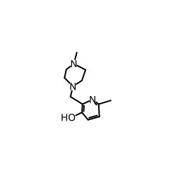 Cc1ccc(O)c(CN2CCN(C)CC2)n1